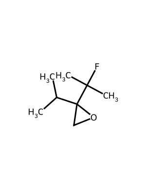 CC(C)C1(C(C)(C)F)CO1